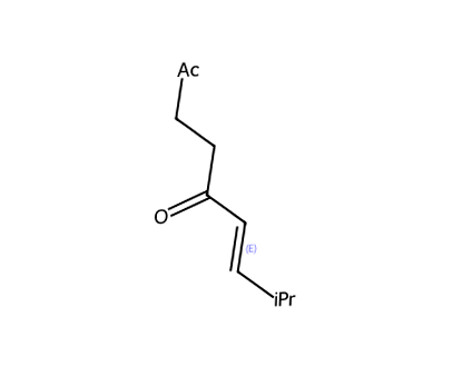 CC(=O)CCC(=O)/C=C/C(C)C